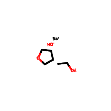 C1CCOC1.CCO.[Na+].[OH-]